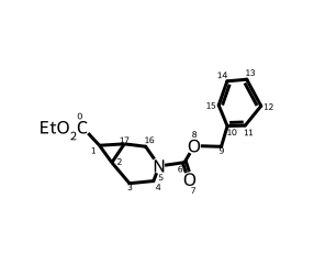 CCOC(=O)C1C2CCN(C(=O)OCc3ccccc3)CC21